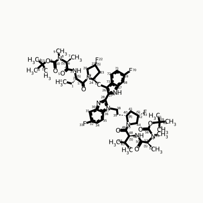 CC[C@H](NC(=O)[C@H](C)N(C)C(=O)OC(C)(C)C)C(=O)N1C[C@@H](F)C[C@H]1Cc1c(-c2nc3cc(F)ccc3n2CC[C@@H]2C[C@H](F)CN2C(=O)[C@@H](NC(=O)[C@H](C)N(C)C(=O)OC(C)(C)C)C(C)C)[nH]c2cc(F)ccc12